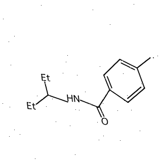 [CH2]c1ccc(C(=O)NCC(CC)CC)cc1